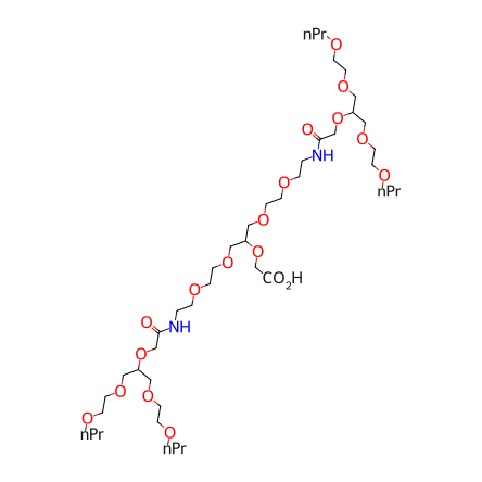 CCCOCCOCC(COCCOCCC)OCC(=O)NCCOCCOCC(COCCOCCNC(=O)COC(COCCOCCC)COCCOCCC)OCC(=O)O